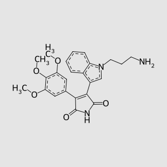 COc1cc(C2=C(c3cn(CCCN)c4ccccc34)C(=O)NC2=O)cc(OC)c1OC